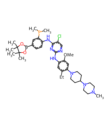 CCc1cc(Nc2ncc(Cl)c(Nc3ccc(B4OC(C)(C)C(C)(C)O4)cc3P(C)C)n2)c(OC)cc1N1CCC(N2CCN(C)CC2)CC1